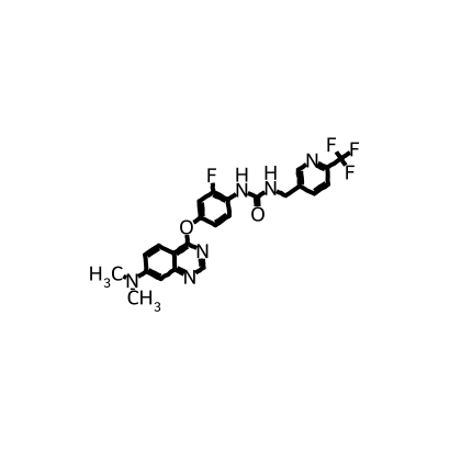 CN(C)c1ccc2c(Oc3ccc(NC(=O)NCc4ccc(C(F)(F)F)nc4)c(F)c3)ncnc2c1